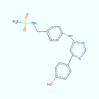 CS(=O)(=O)NCc1ccc(Nc2cc(-c3ccc(O)cc3)ncn2)cc1